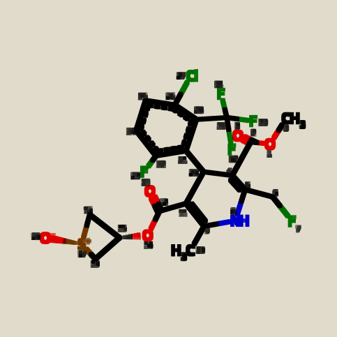 COC(=O)C1=C(CF)NC(C)=C(C(=O)O[C@H]2C[S@+]([O-])C2)C1c1c(F)ccc(Cl)c1C(F)(F)F